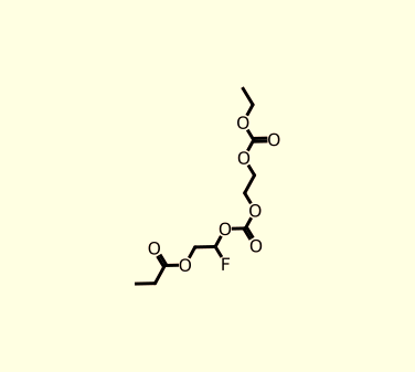 CCOC(=O)OCCOC(=O)OC(F)COC(=O)CC